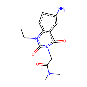 CCn1c(=O)n(CC(=O)N(C)C)c(=O)c2cc(N)ccc21